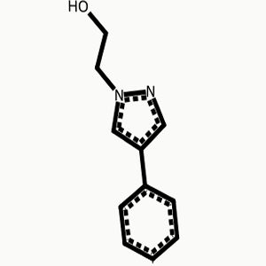 OCCn1cc(-c2cc[c]cc2)cn1